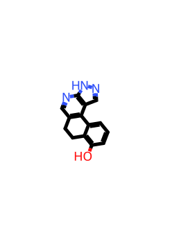 Oc1cccc2c1CCc1cnc3[nH]ncc3c1-2